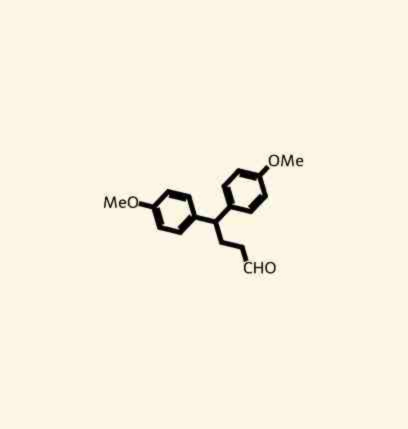 COc1ccc(C(CCC=O)c2ccc(OC)cc2)cc1